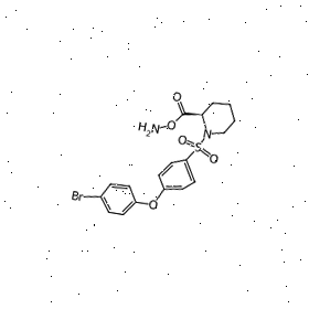 NOC(=O)[C@H]1CCCCN1S(=O)(=O)c1ccc(Oc2ccc(Br)cc2)cc1